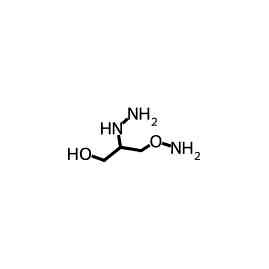 NNC(CO)CON